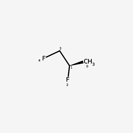 C[C@@H](F)CF